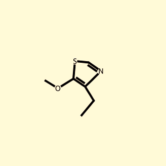 CCc1ncsc1OC